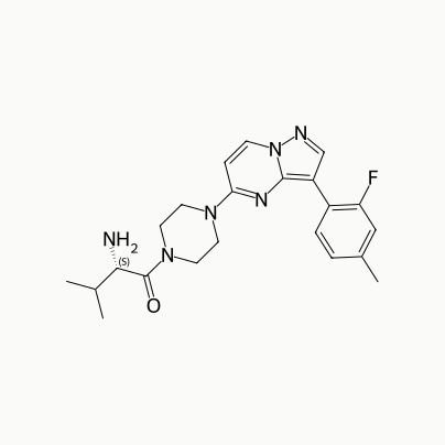 Cc1ccc(-c2cnn3ccc(N4CCN(C(=O)[C@@H](N)C(C)C)CC4)nc23)c(F)c1